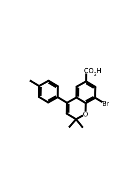 Cc1ccc(C2=CC(C)(C)Oc3c(Br)cc(C(=O)O)cc32)cc1